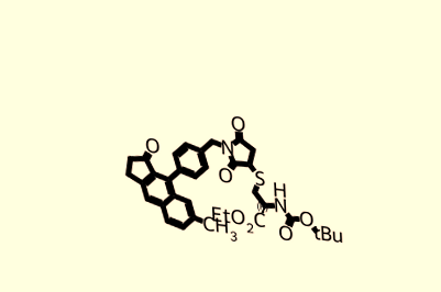 CCOC(=O)[C@H](CSC1CC(=O)N(Cc2ccc(-c3c4c(cc5ccc(C)cc35)CCC4=O)cc2)C1=O)NC(=O)OC(C)(C)C